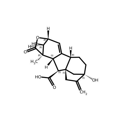 C=C1C[C@]23C[C@@]1(O)CC[C@H]2C1=C[C@H]2OC(=O)[C@](C)([C@H]1[C@@H]3C(=O)O)[C@H]2O